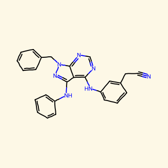 N#CCc1cccc(Nc2ncnc3c2c(Nc2ccccc2)nn3Cc2ccccc2)c1